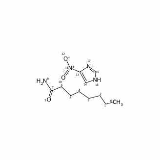 CCCCCCCC(N)=O.O=[N+]([O-])c1c[nH]cn1